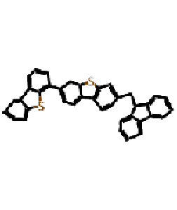 C1=C(c2cccc3c2sc2ccccc23)CC2Sc3cc(CC4c5ccccc5-c5ccccc54)ccc3C2=C1